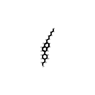 CCCCCCCc1ccc2cc(C3CCC(CCC)CC3)ccc2c1